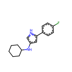 Fc1ccc(-c2cc(NC3CCCCC3)c[nH]2)cc1